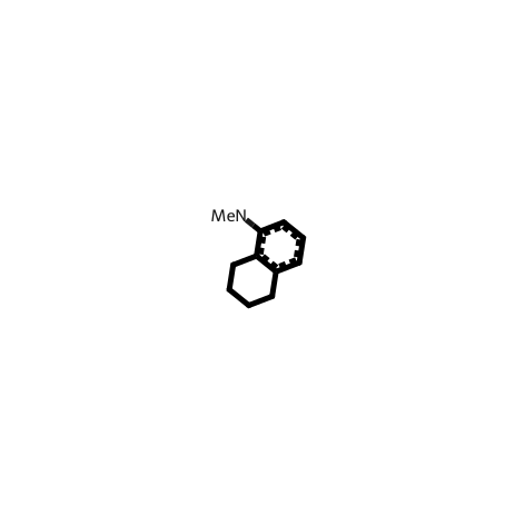 CNc1cccc2c1CCCC2